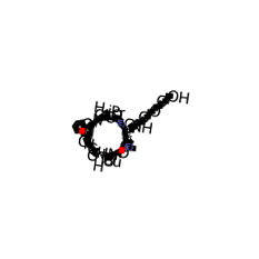 C/C=C(\C)[C@H]1OC(=O)[C@@H](C)NC(=O)C(C(C)CC)NC(=O)CN(C)C(=O)[C@@H](Cc2ccccc2)N(C)C(=O)[C@H](C)NC(=O)[C@@H](CC(C)C)OC(=O)/C(C)=C/C[C@H](CC(=O)NCCOCCOCCOCCO)[C@@H]1C